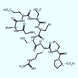 CC(C)C[C@H](NC(=O)[C@H](CC(=O)O)NC(=O)[C@H](CCC(=O)O)NC(=O)[C@@H](NC(=O)CN)C(C)C)C(=O)N[C@@H](CO)C(=O)N[C@@H](CCCNC(=N)N)C(=O)N[C@@H](CC(C)C)C(=O)N1CCC[C@H]1C(=O)O